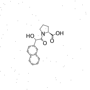 O=C(O)[C@@H]1CCCN1C(=O)C(O)c1ccc2ccccc2c1